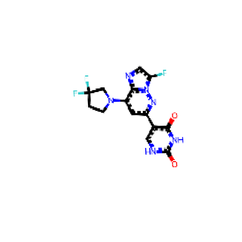 O=c1[nH]cc(-c2cc(N3C[CH]C(F)(F)C3)c3ncc(F)n3n2)c(=O)[nH]1